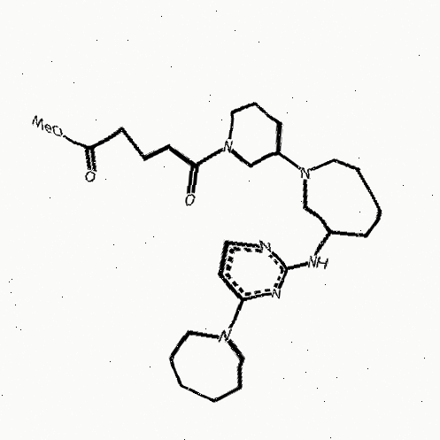 COC(=O)CCCC(=O)N1CCCC(N2CCCCC(Nc3nccc(N4CCCCCC4)n3)C2)C1